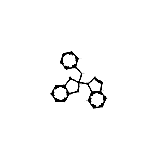 O=C1c2ccccc2CC1(Cc1ccccc1)C1C=Cc2ccccc21